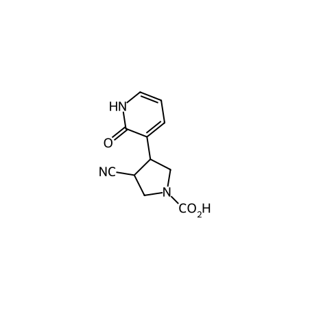 N#CC1CN(C(=O)O)CC1c1ccc[nH]c1=O